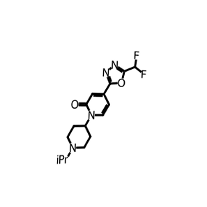 CC(C)N1CCC(n2ccc(-c3nnc(C(F)F)o3)cc2=O)CC1